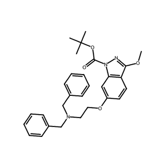 COc1nn(C(=O)OC(C)(C)C)c2cc(OCCN(Cc3ccccc3)Cc3ccccc3)ccc12